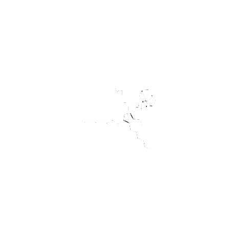 CCCCCCCCC1=C(CCCCCC)C(CC)=[C]([Ti]([NH]C23CC4CC(CC(C4)C2)C3)[SiH](C)C)C1C.Cl.Cl